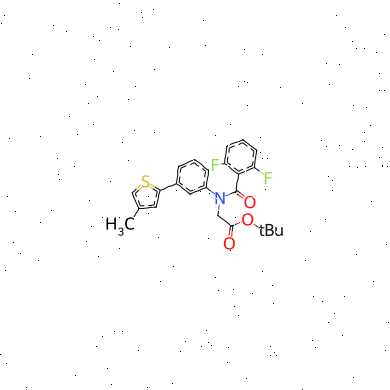 Cc1csc(-c2cccc(N(CC(=O)OC(C)(C)C)C(=O)c3c(F)cccc3F)c2)c1